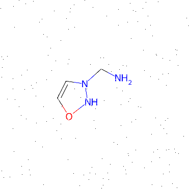 NCN1C=CON1